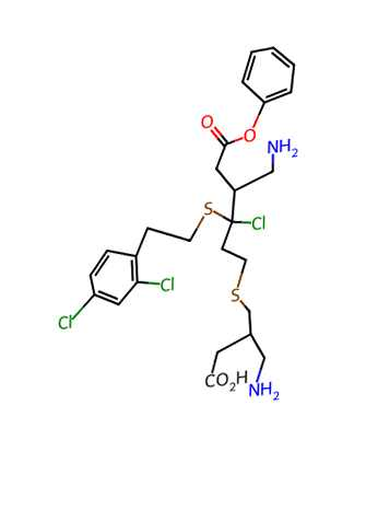 NCC(CSCCC(Cl)(SCCc1ccc(Cl)cc1Cl)C(CN)CC(=O)Oc1ccccc1)CC(=O)O